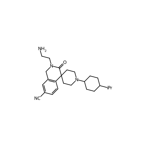 CC(C)C1CCC(N2CCC3(CC2)C(=O)N(CCN)Cc2cc(C#N)ccc23)CC1